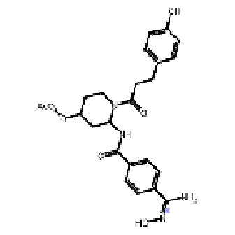 CC(=O)OOC1CCN(C(=O)CCc2ccc(O)cc2)C(NC(=O)c2ccc(/C(N)=N\O)cc2)C1